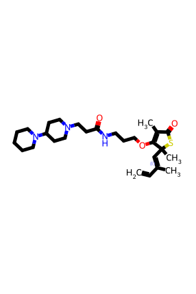 C=C/C(C)=C/C1(C)SC(=O)C(C)=C1OCCCNC(=O)CCN1CCC(N2CCCCC2)CC1